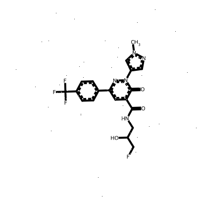 Cn1cc(-n2nc(-c3ccc(C(F)(F)F)cc3)cc(C(=O)NCC(O)CF)c2=O)cn1